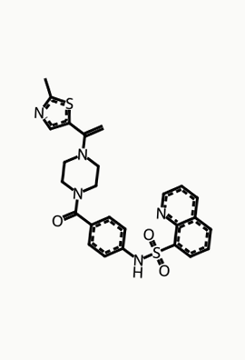 C=C(c1cnc(C)s1)N1CCN(C(=O)c2ccc(NS(=O)(=O)c3cccc4cccnc34)cc2)CC1